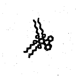 CCCCCCOc1c(OCCCCCC)c(OCCCCCC)c2c3ccccc3c3ccccc3c2c1OCCCCCC